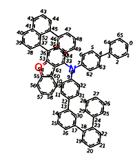 c1ccc(-c2ccc(N(c3ccc(-c4cccc(-c5ccccc5-c5ccccc5)c4)cc3)c3ccc(-c4cccc5cccc(-c6ccccc6)c45)c4oc5ccccc5c34)cc2)cc1